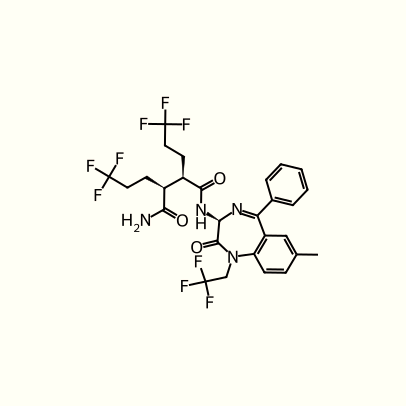 Cc1ccc2c(c1)C(c1ccccc1)=N[C@H](NC(=O)[C@H](CCC(F)(F)F)[C@H](CCC(F)(F)F)C(N)=O)C(=O)N2CC(F)(F)F